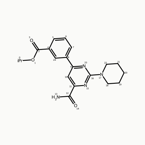 CC(C)OC(=O)c1cccc(-c2cc(C(N)=O)nc(N3CCCCC3)n2)c1